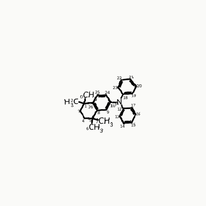 CC1(C)CCC(C)(C)c2cc(N(c3ccccc3)c3ccccc3)ccc21